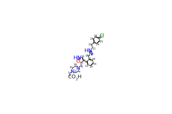 O=C(O)CN1CCN(CC2ONC=C2c2ccccc2C=NNCCc2ccc(Cl)cc2)CC1